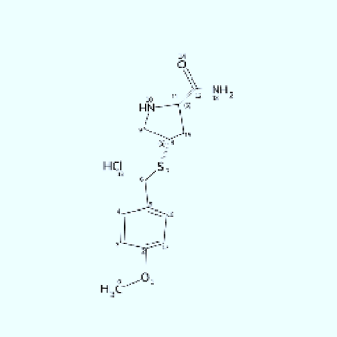 COc1ccc(CS[C@@H]2CN[C@H](C(N)=O)C2)cc1.Cl